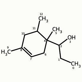 CCC(O)C1(C)CC=C(C)CC1C